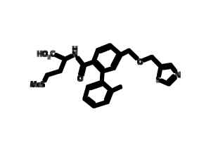 CSCCC(NC(=O)c1ccc(COCc2cncs2)cc1-c1ccccc1C)C(=O)O